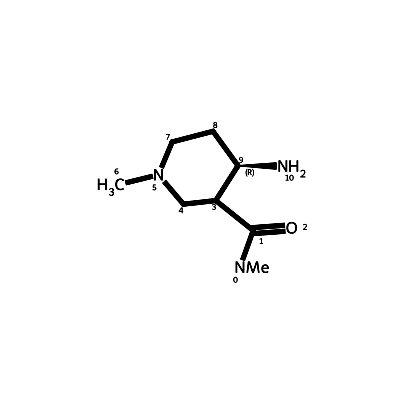 CNC(=O)C1CN(C)CC[C@H]1N